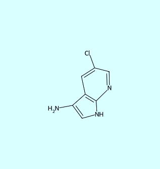 Nc1c[nH]c2ncc(Cl)cc12